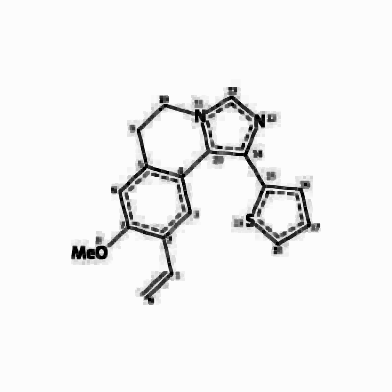 C=Cc1cc2c(cc1OC)CCn1cnc(-c3cccs3)c1-2